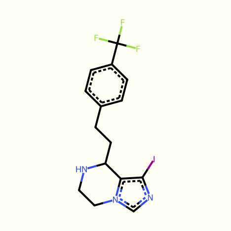 FC(F)(F)c1ccc(CCC2NCCn3cnc(I)c32)cc1